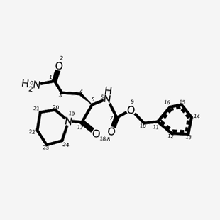 NC(=O)CC[C@@H](NC(=O)OCc1ccccc1)C(=O)N1CCCCC1